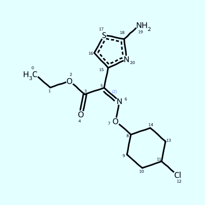 CCOC(=O)/C(=N\OC1CCC(Cl)CC1)c1csc(N)n1